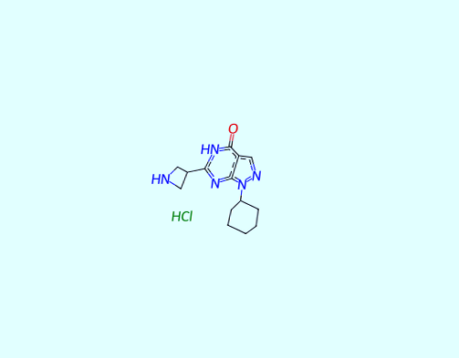 Cl.O=c1[nH]c(C2CNC2)nc2c1cnn2C1CCCCC1